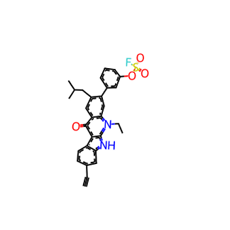 C#Cc1ccc2c(c1)[nH]c1c2c(=O)c2cc(CC(C)C)c(-c3cccc(OS(=O)(=O)F)c3)cc2n1CC